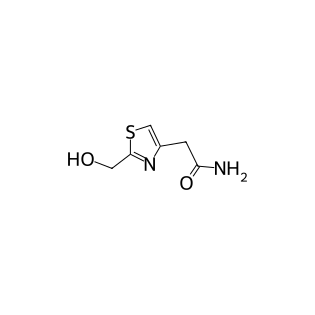 NC(=O)Cc1csc(CO)n1